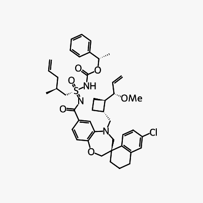 C=CC[C@H](C)C[S@@](=O)(=NC(=O)c1ccc2c(c1)N(C[C@@H]1CC[C@H]1[C@H](C=C)OC)C[C@@]1(CCCc3cc(Cl)ccc31)CO2)NC(=O)O[C@@H](C)c1ccccc1